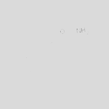 [CH2]c1ccc(ON)cc1